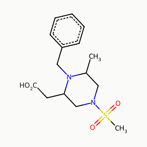 CC1CN(S(C)(=O)=O)CC(CC(=O)O)N1Cc1ccccc1